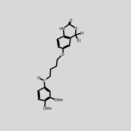 CCC1(CC)OC(=O)Nc2ccc(OCCCC[S+]([O-])c3ccc(OC)c(OC)c3)cc21